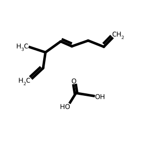 C=CCC=CC(C)C=C.O=C(O)O